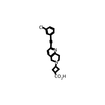 O=C(O)C1CC(N2CCc3nc(C#Cc4cccc(Cl)c4)ccc3C2)C1